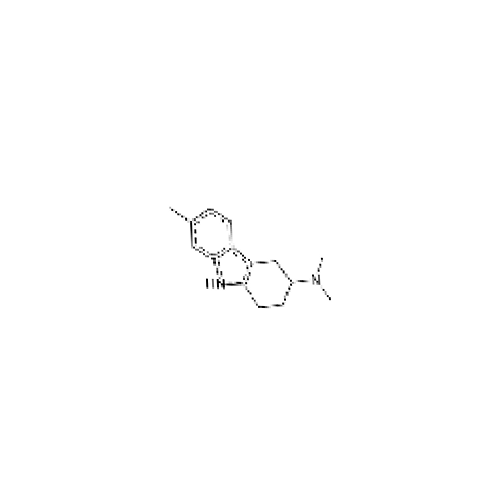 Cc1ccc2c3c([nH]c2c1)CCC(N(C)C)C3